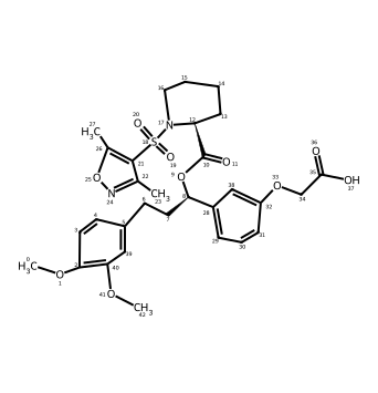 COc1ccc(CC[C@@H](OC(=O)[C@@H]2CCCCN2S(=O)(=O)c2c(C)noc2C)c2cccc(OCC(=O)O)c2)cc1OC